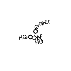 CCC1CN(CCOc2ccc([C@H]3c4ccc(CO)cc4C[C@@H](C)N3CC(F)(F)CO)cc2)C1